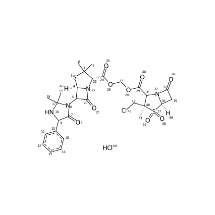 CC1(C)S[C@@H]2C(N3C(=O)C(c4ccccc4)NC3(C)C)C(=O)N2[C@H]1C(=O)OCOC(=O)C1N2C(=O)C[C@H]2S(=O)(=O)[C@@]1(C)CCl.Cl